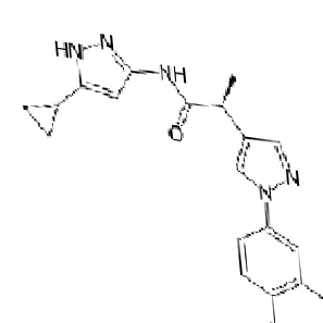 C[C@H](C(=O)Nc1cc(C2CC2)[nH]n1)c1cnn(-c2ccc(F)c(F)c2)c1